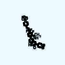 C[C@@H](Nc1ncnc2[nH]c(=O)c(C3CCS(=O)(=O)CC3)cc12)c1cccc(C(F)(F)CCC2CCN(C(=O)OC(C)(C)C)CC2)c1F